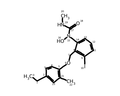 CCc1ccc(OCc2c(I)cccc2N(O)C(=O)NC)c(C)c1